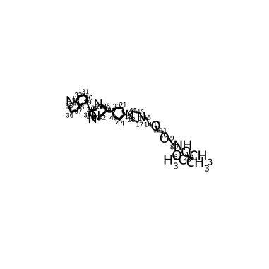 CC(C)(C)OC(=O)NCCOCCOCCN1CCN(c2ccc(-c3cnc4c(-c5cccc6ncccc56)cnn4c3)cc2)CC1